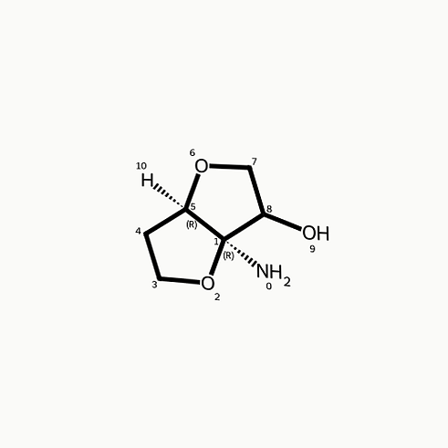 N[C@]12OCC[C@H]1OCC2O